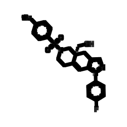 CC(C)(C)c1ccc(S(=O)(=O)N2CCC3=Cc4c(cnn4-c4ccc(F)cc4)C[C@]3(CO)C2)cc1